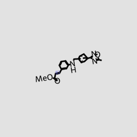 COC(=O)/C=C/c1cccc(NCC23CCC(c4noc(C)n4)(CC2)CC3)c1